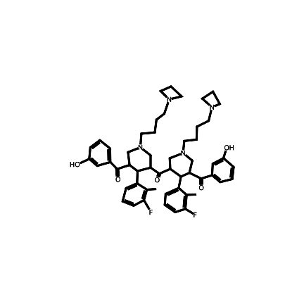 Cc1c(F)cccc1C1C(C(=O)c2cccc(O)c2)CN(CCCCN2CCC2)CC1C(=O)C1CN(CCCCN2CCC2)CC(C(=O)c2cccc(O)c2)C1c1cccc(F)c1C